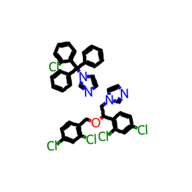 Clc1ccc(COC(Cn2ccnc2)c2ccc(Cl)cc2Cl)c(Cl)c1.Clc1ccccc1C(c1ccccc1)(c1ccccc1)n1ccnc1